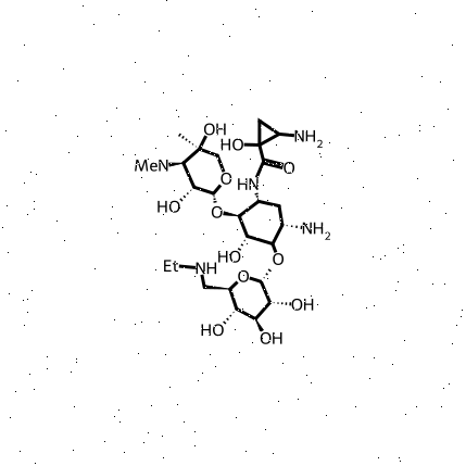 CCNC[C@H]1O[C@H](OC2[C@@H](N)C[C@@H](NC(=O)C3(O)CC3N)[C@H](O[C@H]3OC[C@](C)(O)[C@H](NC)[C@H]3O)[C@H]2O)[C@H](O)[C@@H](O)[C@@H]1O